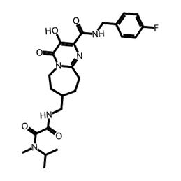 CC(C)N(C)C(=O)C(=O)NCC1CCc2nc(C(=O)NCc3ccc(F)cc3)c(O)c(=O)n2CC1